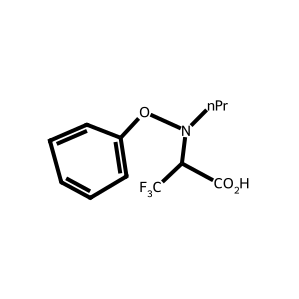 CCCN(Oc1ccccc1)C(C(=O)O)C(F)(F)F